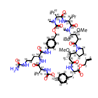 C=CCOC(=O)[C@H](Cc1ccccc1)NC(=O)[C@H](C)[C@@H](OC)[C@@H]1CCCN1C(=O)C[C@@H](OC)[C@H]([C@@H](C)CC)N(C)C(=O)[C@@H](NC(=O)[C@H](C(C)C)N(C)C(=O)OCc1ccc(NC(=O)[C@H](CCCNC(N)=O)NC(=O)[C@@H](NC(=O)OC(C)(C)C)C(C)C)cc1)C(C)C